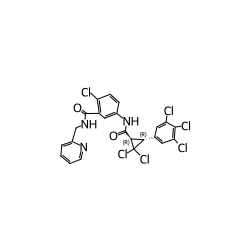 O=C(NCc1ccccn1)c1cc(NC(=O)[C@H]2[C@H](c3cc(Cl)c(Cl)c(Cl)c3)C2(Cl)Cl)ccc1Cl